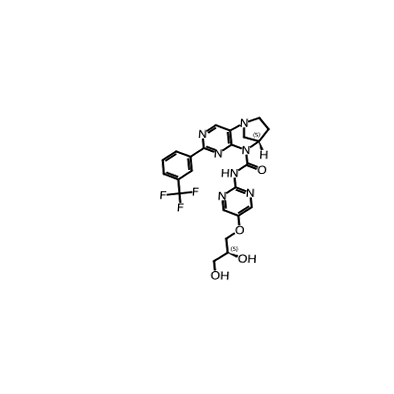 O=C(Nc1ncc(OC[C@@H](O)CO)cn1)N1c2nc(-c3cccc(C(F)(F)F)c3)ncc2N2CC[C@H]1C2